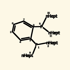 CCCCCCCP(CCCCCCC)c1ccccc1P(CCCCCCC)CCCCCCC